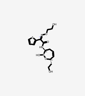 O=C(N[C@H]1CC=C[C@H](CCO)OB1O)/C(=N\OCCO)c1cccs1